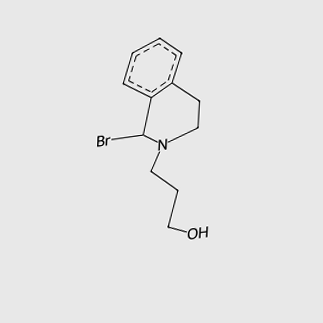 OCCCN1CCc2ccccc2C1Br